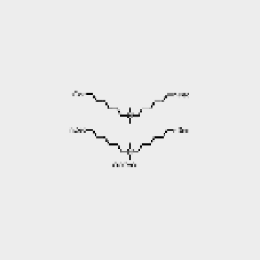 CCCCCCCCCCCCCCCC[N+](C)(C)CCCCCCCCCCCCCCCC.CCCCCCCCCCCCCCCC[N+](C)(C)CCCCCCCCCCCCCCCC.O=C([O-])[O-]